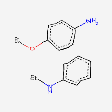 CCNc1ccccc1.CCOc1ccc(N)cc1